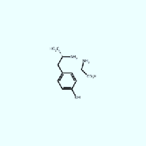 NCC(=O)O.N[C@H](Cc1ccc(O)cc1)C(=O)O